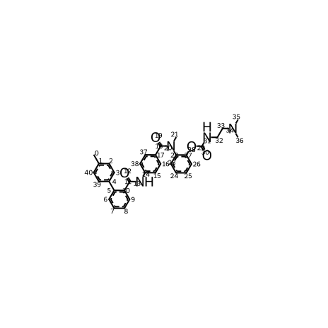 Cc1ccc(-c2ccccc2C(=O)Nc2ccc(C(=O)N(C)c3ccccc3OC(=O)NCCN(C)C)cc2)cc1